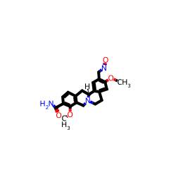 COc1cc2c(cc1CN=O)[C@@H]1Cc3ccc(C(N)=O)c(OC)c3CN1CC2